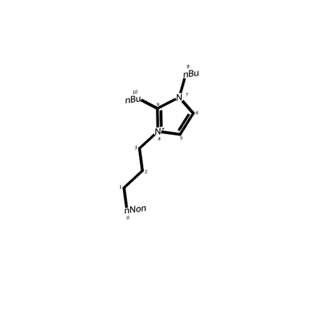 CCCCCCCCCCCC[n+]1ccn(CCCC)c1CCCC